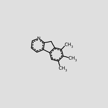 Cc1cc2c(c(C)c1C)Cc1ncccc1-2